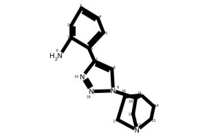 Nc1ccccc1-c1cn(C2CN3CCC2CC3)nn1